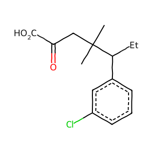 CCC(c1cccc(Cl)c1)C(C)(C)CC(=O)C(=O)O